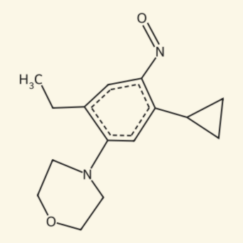 CCc1cc(N=O)c(C2CC2)cc1N1CCOCC1